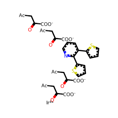 CC(=O)CC(=O)C(=O)[O-].CC(=O)CC(=O)C(=O)[O-].CC(=O)CC(=O)C(=O)[O-].CC(=O)CC(=O)C(=O)[O-].[Ir+4].c1csc(-c2cccnc2-c2cccs2)c1